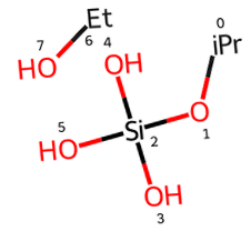 CC(C)O[Si](O)(O)O.CCO